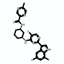 Cc1cnc(C(=O)N[C@@H]2CCC[C@H](Nc3nc(-c4c[nH]c5c(F)cc(F)cc45)ncc3F)C2)cn1